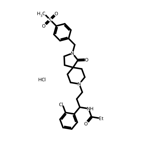 CCC(=O)NC(CCN1CCC2(CC1)CCN(Cc1ccc(S(C)(=O)=O)cc1)C2=O)c1ccccc1Cl.Cl